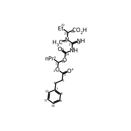 CCCC(OC(=O)CCc1ccccc1)OC(=O)NC(=N)N(C)C(CC)C(=O)O